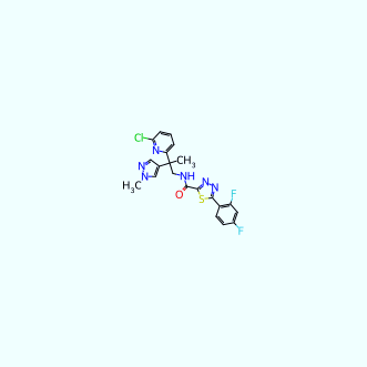 Cn1cc(C(C)(CNC(=O)c2nnc(-c3ccc(F)cc3F)s2)c2cccc(Cl)n2)cn1